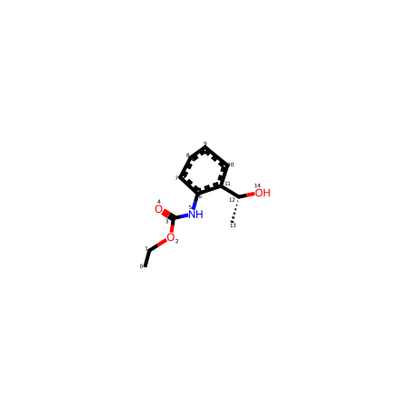 CCOC(=O)Nc1ccccc1[C@@H](C)O